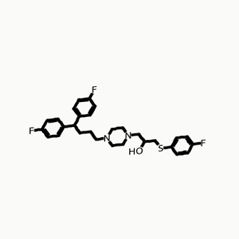 OC(CSc1ccc(F)cc1)CN1CCN(CCCC(c2ccc(F)cc2)c2ccc(F)cc2)CC1